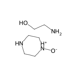 NCCO.[O-][NH+]1CCNCC1